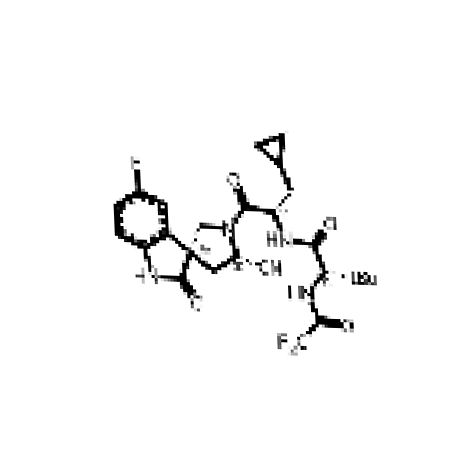 CC(C)(C)[C@H](NC(=O)C(F)(F)F)C(=O)N[C@@H](CC1CC1)C(=O)N1C[C@]2(C[C@H]1C#N)C(=O)Nc1ccc(F)cc12